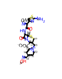 CON=C(C(=O)NC1C(=O)N2C(C(=O)[O-])=C(C[n+]3ccc(C=NO)cc3)CS[C@@H]12)c1csc(N)n1